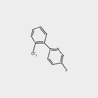 Fc1ccc(-c2ccc[c]c2C(F)(F)F)nc1